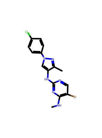 CNc1nc(Nc2cn(-c3ccc(Cl)cc3)nc2C)ncc1Br